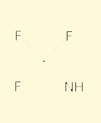 [NH]C(F)(F)F